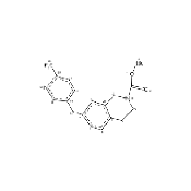 CC(C)(C)OC(=O)N1CCc2ccc(Cc3ccc(C(F)(F)F)nc3)cc2C1